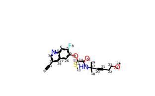 C#Cc1cnc2cc(F)c(OC(SC)C(=O)NC(C)(C)C#CCCOC)cc2c1